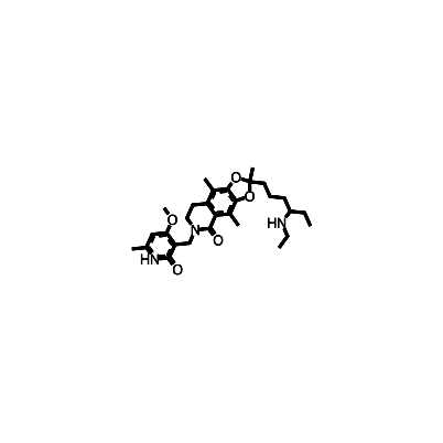 CCNC(CC)CCCC1(C)Oc2c(C)c3c(c(C)c2O1)C(=O)N(Cc1c(OC)cc(C)[nH]c1=O)CC3